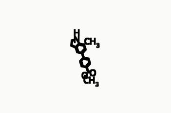 COC(=O)c1ccc(-c2cc(C)c3c(c2)CCN3)cc1